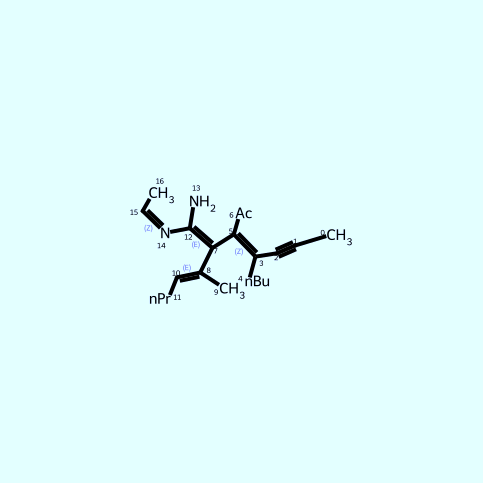 CC#C/C(CCCC)=C(C(C)=O)/C(C(/C)=C/CCC)=C(N)/N=C\C